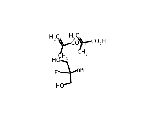 C=C(C)C(=O)O.C=C(C)C(=O)O.CCCC(CC)(CO)CO